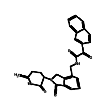 C=C1CCC(N2Cc3c(CNC(=O)C(=O)c4ccc5ccccc5c4)cccc3C2=O)C(=O)N1